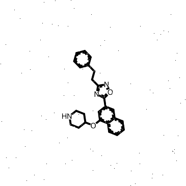 c1ccc(CCc2noc(-c3cc(OC4CCNCC4)c4ccccc4c3)n2)cc1